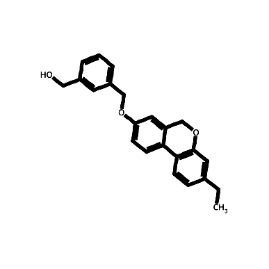 CCc1ccc2c(c1)OCc1cc(OCc3cccc(CO)c3)ccc1-2